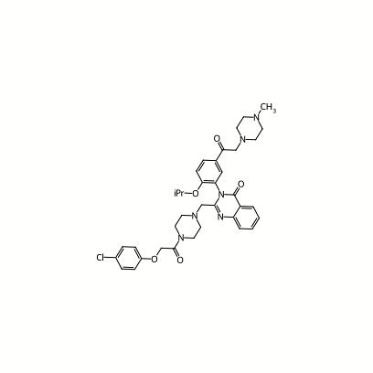 CC(C)Oc1ccc(C(=O)CN2CCN(C)CC2)cc1-n1c(CN2CCN(C(=O)COc3ccc(Cl)cc3)CC2)nc2ccccc2c1=O